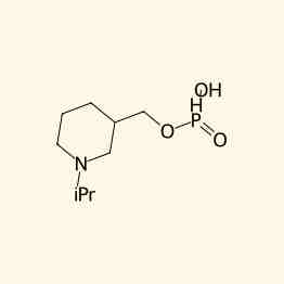 CC(C)N1CCCC(CO[PH](=O)O)C1